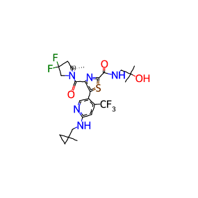 C[C@H]1CC(F)(F)CN1C(=O)c1nc(C(=O)NCC(C)(C)O)sc1-c1cnc(NCC2(C)CC2)cc1C(F)(F)F